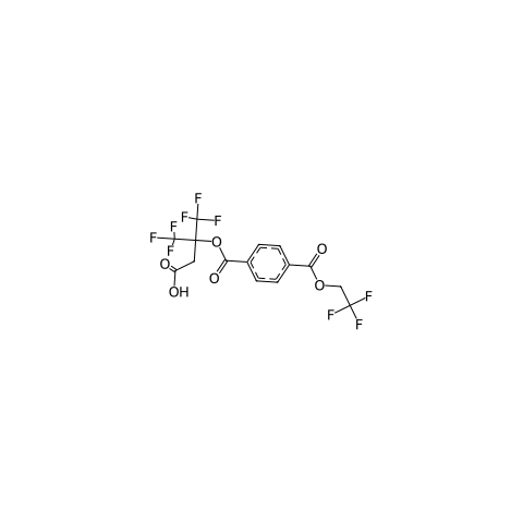 O=C(O)CC(OC(=O)c1ccc(C(=O)OCC(F)(F)F)cc1)(C(F)(F)F)C(F)(F)F